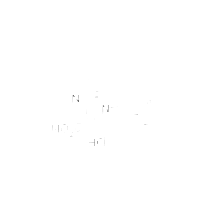 Cl.O=C(O)c1cn(C=Cc2ccccc2)c2cccnc12